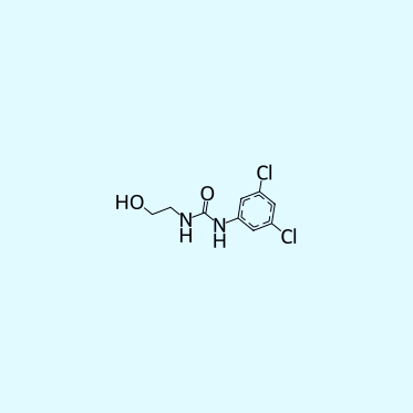 O=C(NCCO)Nc1cc(Cl)cc(Cl)c1